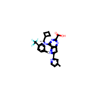 Cc1ccnc(-c2cc3nc(C(=O)O)nc(N[C@H](C)C4CCC4)c3n2Cc2ccc(C(F)(F)F)cc2)c1